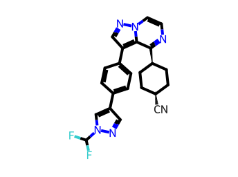 N#C[C@H]1CC[C@@H](c2nccn3ncc(-c4ccc(-c5cnn(C(F)F)c5)cc4)c23)CC1